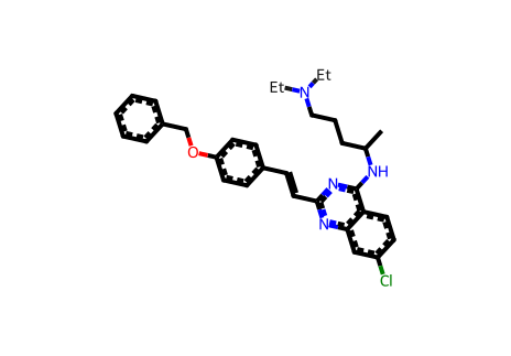 CCN(CC)CCCC(C)Nc1nc(C=Cc2ccc(OCc3ccccc3)cc2)nc2cc(Cl)ccc12